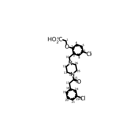 O=C(O)COc1ccc(Cl)cc1CN1CCN(C(=O)Cc2cccc(Cl)c2)CC1